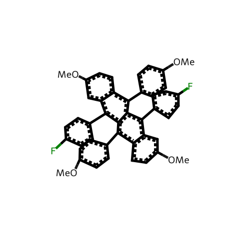 COc1ccc(-c2c3ccc(OC)cc3c(-c3ccc(F)cc3)c3c(-c4ccc(OC)cc4)c4ccc(OC)cc4c(-c4ccc(F)cc4)c23)cc1